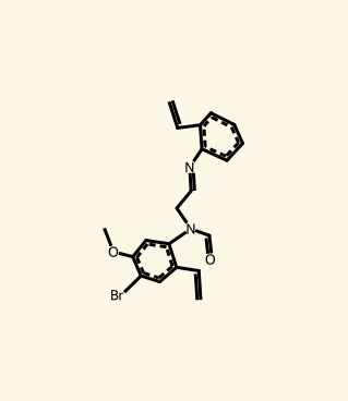 C=Cc1ccccc1/N=C/CN(C=O)c1cc(OC)c(Br)cc1C=C